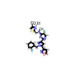 CCOC(=O)c1csc(CN(C)c2nc(-c3cc(-c4ccon4)n(Cc4ccccc4F)n3)ncc2F)n1